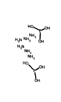 N.N.N.N.N.N.OP(O)O.OP(O)O